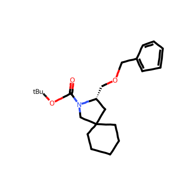 CC(C)(C)OC(=O)N1CC2(CCCCC2)C[C@H]1COCc1ccccc1